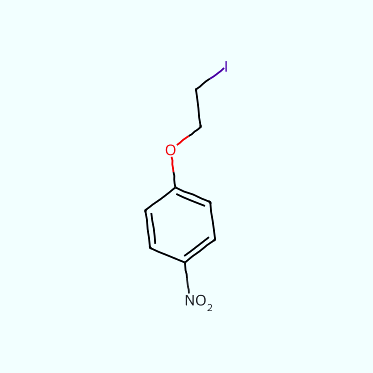 O=[N+]([O-])c1ccc(OCCI)cc1